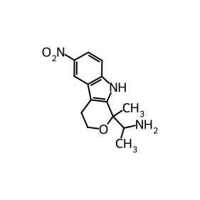 CC(N)C1(C)OCCc2c1[nH]c1ccc([N+](=O)[O-])cc21